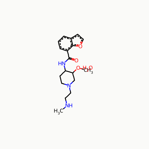 CNCCN1CCC(NC(=O)c2cccc3ccoc23)C(OC)C1.O